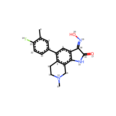 Cc1cc(-c2cc3c(c4c2CCN(C)C4)NC(=O)/C3=N/O)ccc1F